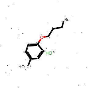 CCC(C)CCCOc1ccc(C(=O)O)cc1.Cl